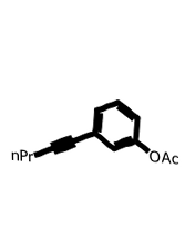 CCCC#Cc1cccc(OC(C)=O)c1